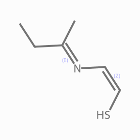 CC/C(C)=N/C=C\S